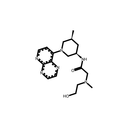 C[C@H]1C[C@@H](NC(=O)CN(C)CCO)CN(c2ccnc3nccnc23)C1